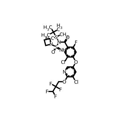 CC(C)(C)S(C)(C)N(C(=O)c1cc(Cl)c(Oc2cnc(OCC(F)(F)C(F)F)c(Cl)c2)cc1F)S(=N)(=O)N1CCC1